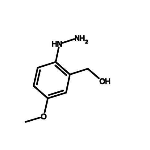 COc1ccc(NN)c(CO)c1